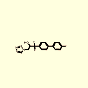 OC(Cn1cnnn1)C(F)(F)c1ccc(-c2ccc(F)cc2)cc1